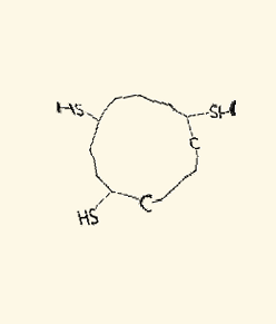 SC1CCCCC(S)CCC(S)CCC1